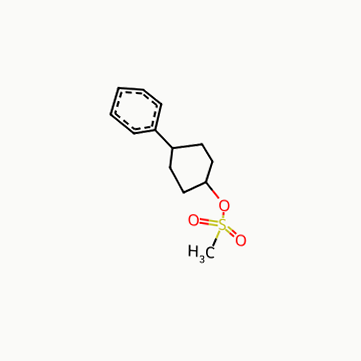 CS(=O)(=O)OC1CCC(c2ccccc2)CC1